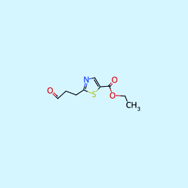 CCOC(=O)c1cnc(CCC=O)s1